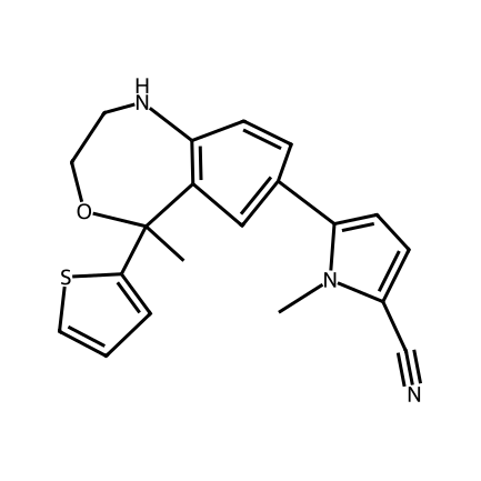 Cn1c(C#N)ccc1-c1ccc2c(c1)C(C)(c1cccs1)OCCN2